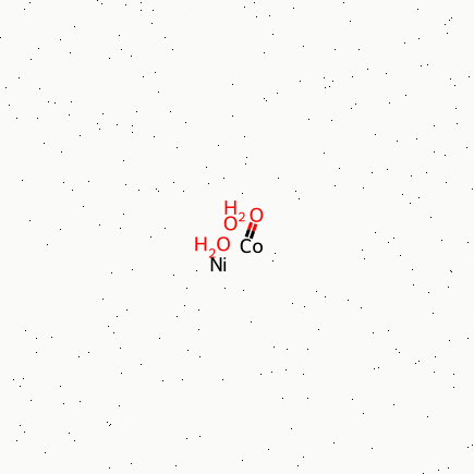 O.O.[Ni].[O]=[Co]